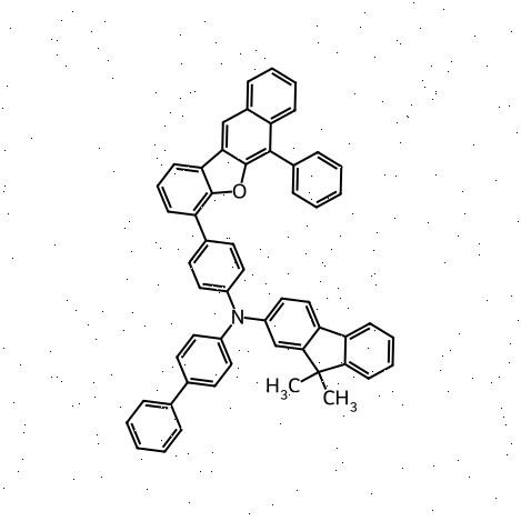 CC1(C)c2ccccc2-c2ccc(N(c3ccc(-c4ccccc4)cc3)c3ccc(-c4cccc5c4oc4c(-c6ccccc6)c6ccccc6cc45)cc3)cc21